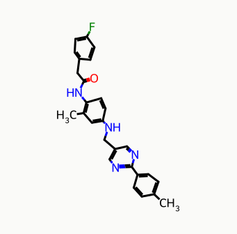 Cc1ccc(-c2ncc(CNc3ccc(NC(=O)Cc4ccc(F)cc4)c(C)c3)cn2)cc1